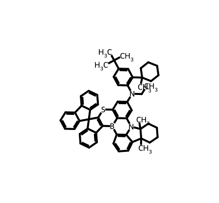 CCN(c1cc2c3c(c1)N1c4c(cccc4C4(C)CCCCC14C)B3C1=C(S2)C2(c3ccccc31)c1ccccc1-c1ccccc12)c1ccc(C(C)(C)C)cc1C1(C)CCCCC1